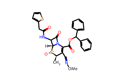 CO/N=C/C1=C(C(=O)OC(c2ccccc2)c2ccccc2)N2C(=O)C(NC(=O)Cc3cccs3)[C@H]2[S+]([O-])[C@@H]1C